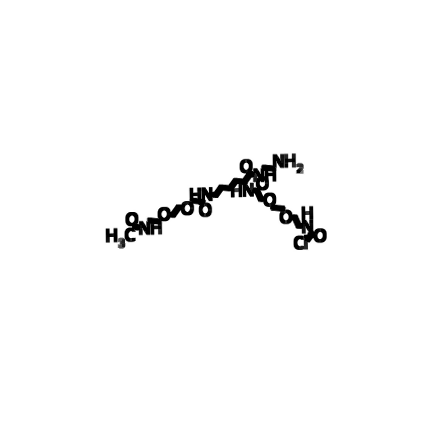 CC(=O)NCCOCCOCC(=O)NCCCCC(NC(=O)COCCOCCNC(=O)Cl)C(=O)NCCN